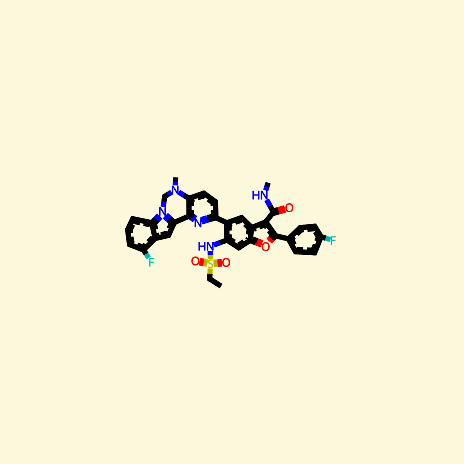 CCS(=O)(=O)Nc1cc2oc(-c3ccc(F)cc3)c(C(=O)NC)c2cc1-c1ccc2c(n1)-c1cc3c(F)cccc3n1CN2C